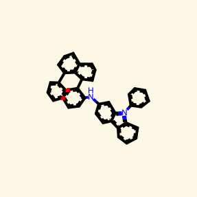 c1ccc(-c2cccc3cccc(-c4ccccc4Nc4ccc5c6ccccc6n(-c6ccccc6)c5c4)c23)cc1